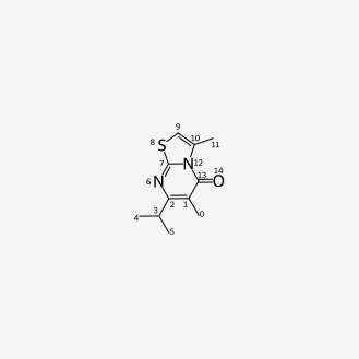 Cc1c(C(C)C)nc2scc(C)n2c1=O